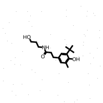 Cc1cc(CCC(=O)NCCCO)cc(C(C)(C)C)c1O